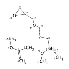 C=C(C)O[SiH3].CO[SiH](CCCOCC1CO1)OC